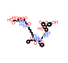 O=C(O)CC[C@H](NC(=O)N[C@@H](CCC(=O)NCCCCCCCC(=O)N[C@@H](CCc1ccccc1)C(=O)N[C@@H](Cc1ccccc1)C(=O)NCCNC(=S)Nc1ccc(-c2c3ccc(=O)cc-3oc3cc(O)ccc23)c(C(=O)O)c1)C(=O)O)C(=O)O